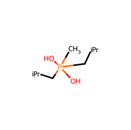 CC(C)CP(C)(O)(O)CC(C)C